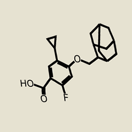 O=C(O)c1cc(C2CC2)c(OCC2C3CC4CC(C3)CC2C4)cc1F